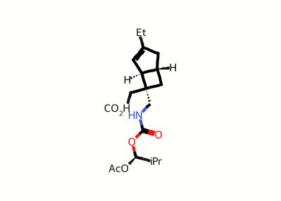 CCC1=C[C@H]2[C@H](C1)C[C@@]2(CNC(=O)O[C@H](OC(C)=O)C(C)C)CC(=O)O